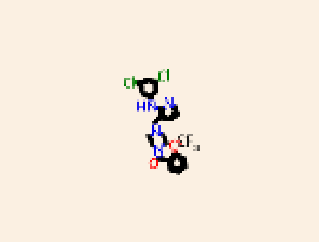 O=C(c1ccccc1OC(F)(F)F)N1CCN(Cc2cccnc2Nc2cc(Cl)cc(Cl)c2)CC1